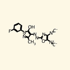 [C-]#[N+]c1nc(N=Nc2c(C)nn(-c3cccc(F)c3)c2O)oc1[N+]#[C-]